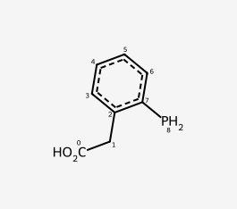 O=C(O)Cc1ccccc1P